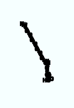 [N-]=[N+]=NCCOCCOCCOCCOCCOCCOCCOCCn1cc(COCCN2CCN(C(=O)O)CC2)nn1